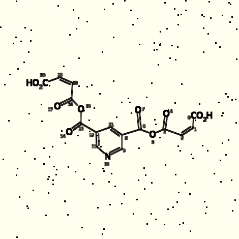 O=C(O)/C=C\C(=O)OC(=O)c1cncc(C(=O)OC(=O)/C=C\C(=O)O)c1